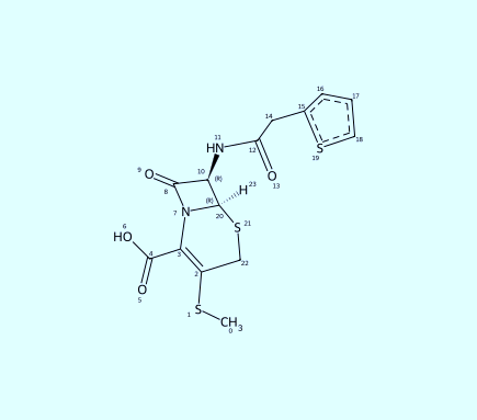 CSC1=C(C(=O)O)N2C(=O)[C@@H](NC(=O)Cc3cccs3)[C@H]2SC1